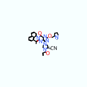 C=CC(=O)N1CCN(c2nc(OCC3CCCN3C)nc3c(=O)n(-c4cccc5cccc(C(=C)C)c45)c(C)nc23)C[C@@H]1CC#N